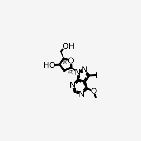 COc1ncnc2c1c(I)nn2[C@H]1CC(O)[C@@H](CO)O1